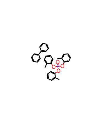 Cc1ccccc1OP(=O)(Oc1ccccc1C)Oc1ccccc1C.c1ccc(-c2ccccc2)cc1